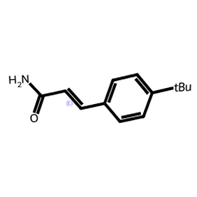 CC(C)(C)c1ccc(/C=C/C(N)=O)cc1